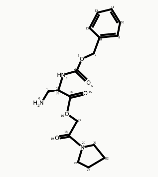 NC[C@@H](NC(=O)OCc1ccccc1)C(=O)OCC(=O)N1CCCC1